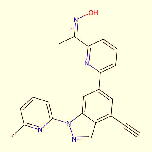 C#Cc1cc(-c2cccc(/C(C)=N\O)n2)cc2c1cnn2-c1cccc(C)n1